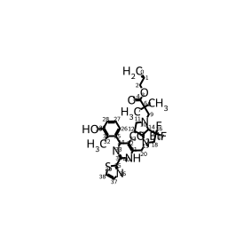 C=CCOC(=O)C(C)(C)CN1CCC2C1C(F)(F)CN2CC1=C(C(=O)OCC)C(c2cccc(O)c2C)N=C(c2nccs2)N1